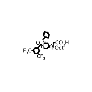 CCCCCCCCN(CC(=O)O)[C@H]1CCN(C(=O)c2cc(C(F)(F)F)cc(C(F)(F)F)c2)[C@H](Cc2ccccc2)C1